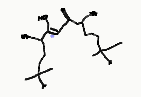 CCCC(CCC(C)(C)F)C(=O)/C=C(\O)C(CCC)CCC(C)(C)F